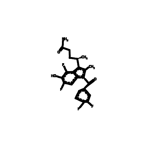 Cc1c([C@@H](C)CCC(N)=O)c2c(F)c(O)c(F)cc2n1C(=O)c1ccc(F)c(F)c1